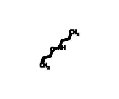 C=CCONCCC